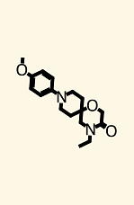 CCN1CC2(CCN(c3ccc(OC)cc3)CC2)OCC1=O